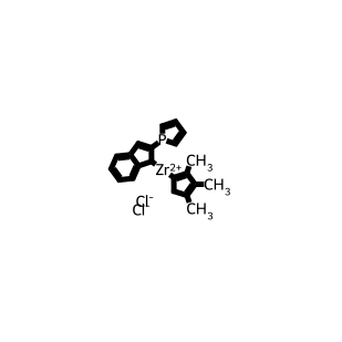 CC1=C(C)C(C)=[C]([Zr+2][CH]2C(p3cccc3)=Cc3ccccc32)C1.[Cl-].[Cl-]